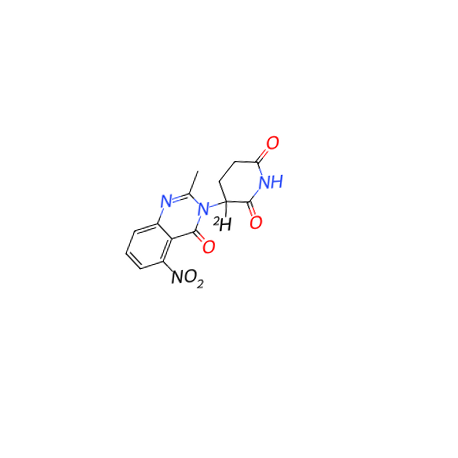 [2H]C1(n2c(C)nc3cccc([N+](=O)[O-])c3c2=O)CCC(=O)NC1=O